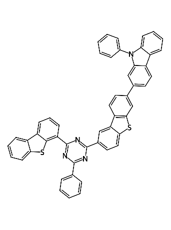 c1ccc(-c2nc(-c3ccc4sc5cc(-c6ccc7c8ccccc8n(-c8ccccc8)c7c6)ccc5c4c3)nc(-c3cccc4c3sc3ccccc34)n2)cc1